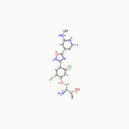 Cc1cc(-c2nc(-c3cc(F)c(OC[C@H](N)[C@H](C)O)cc3Cl)no2)cc(NC(C)C)n1